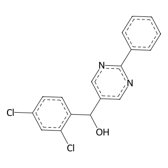 OC(c1cnc(-c2ccccc2)nc1)c1ccc(Cl)cc1Cl